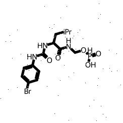 CC(C)CC(NC(=O)Nc1ccc(Br)cc1)C(=O)NCO[PH](=O)O